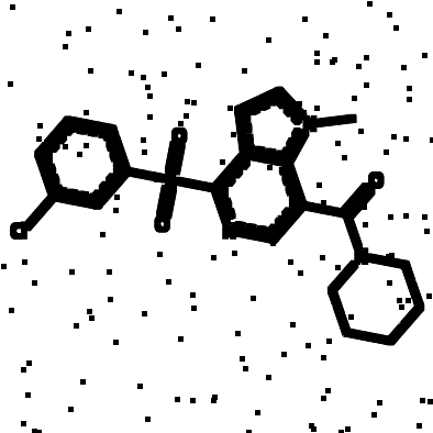 Cn1ccc2c(S(=O)(=O)c3cccc(Cl)c3)ncc(C(=O)N3CCCCC3)c21